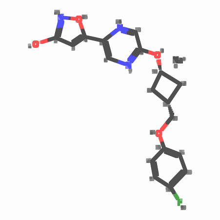 [Na+].[O-]c1cc(-c2cnc(O[C@H]3C[C@@H](COc4ccc(F)cc4)C3)cn2)on1